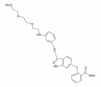 CNC(=O)c1ccccc1Sc1ccc2c(C#Cc3cccc(NCCOCCOCCOC)c3)n[nH]c2c1